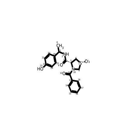 CC(NC(=O)[C@@H]1C[S@+]([O-])CN1C(=O)c1ccccc1)c1ccc(O)cc1